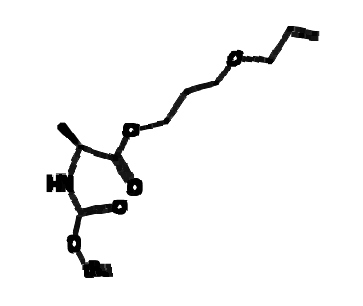 C=CCOCCCOC(=O)[C@H](C)NC(=O)OC(C)(C)C